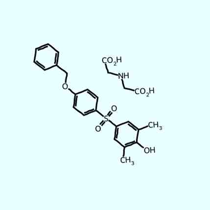 Cc1cc(S(=O)(=O)c2ccc(OCc3ccccc3)cc2)cc(C)c1O.O=C(O)CNCC(=O)O